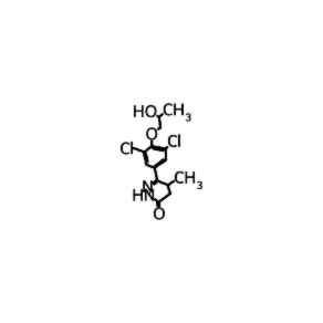 CC(O)COc1c(Cl)cc(C2=NNC(=O)CC2C)cc1Cl